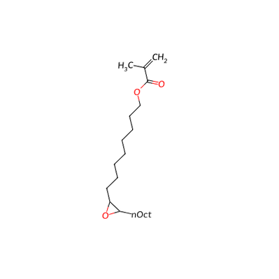 C=C(C)C(=O)OCCCCCCCCC1OC1CCCCCCCC